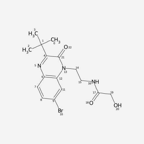 CC(C)(C)c1nc2ccc(Br)cc2n(CCNC(=O)CO)c1=O